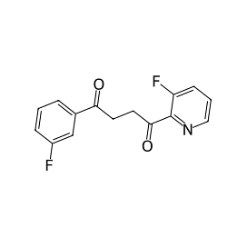 O=C(CCC(=O)c1ncccc1F)c1cccc(F)c1